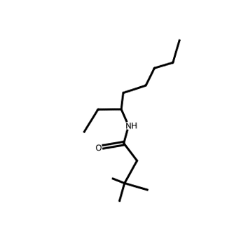 CCCCCC(CC)NC(=O)CC(C)(C)C